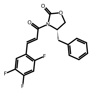 O=C(C=Cc1cc(F)c(F)cc1F)N1C(=O)OC[C@@H]1Cc1ccccc1